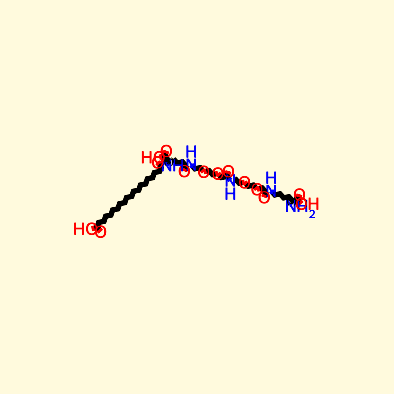 N[C@@H](CCCCNC(=O)COCCOCCNC(=O)COCCOCCNC(=O)CCC[C@H](NC(=O)CCCCCCCCCCCCCCCCCCC(=O)O)C(=O)O)C(=O)O